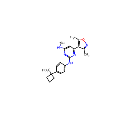 Cc1noc(C)c1-c1cc(NC(C)(C)C)nc(Nc2ccc(C3(C(=O)O)CCC3)cc2)n1